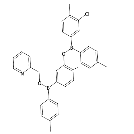 Cc1ccc(B(OCc2ccccn2)c2ccc(C)c(OB(c3ccc(C)cc3)c3ccc(C)c(Cl)c3)c2)cc1